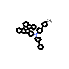 Cc1ccc(-c2ccc(N(c3ccc(-c4ccccc4)cc3)c3ccc4c(c3)C3(c5ccccc5-c5ccccc53)c3cc5ccccc5cc3-4)cc2)cc1